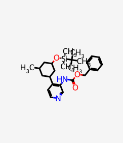 CC1CC(O[Si](C)(C)C(C)(C)C)CC(c2ccncc2NC(=O)OCc2ccccc2)C1